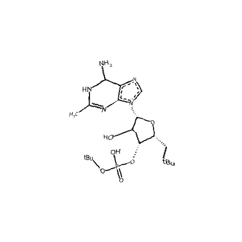 CC1=Nc2c(ncn2[C@@H]2O[C@H](CC(C)(C)C)[C@H](OP(=O)(O)OC(C)(C)C)C2O)C(N)N1